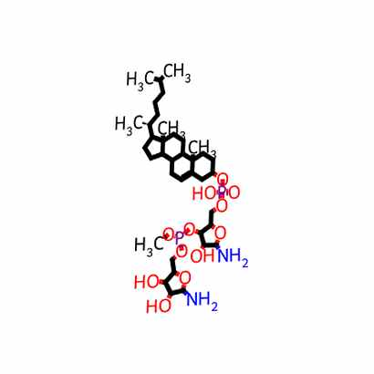 COP(OCC1OC(N)C(O)C1O)OC1C(COP(=O)(O)OC2CCC3(C)C(=CCC4C3CCC3(C)C4CCC3[C@H](C)CCCC(C)C)C2)OC(N)C1O